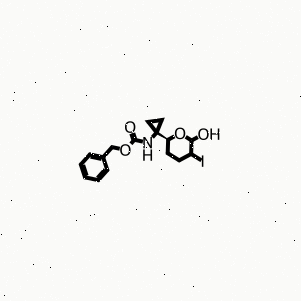 O=C(NC1([C@@H]2CCC(I)C(O)O2)CC1)OCc1ccccc1